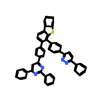 c1ccc(-c2ccc(-c3ccc(-c4c(-c5ccc(-c6cc(-c7ccccc7)nc(-c7ccccc7)n6)cc5)ccc5c4sc4ccccc45)cc3)nn2)cc1